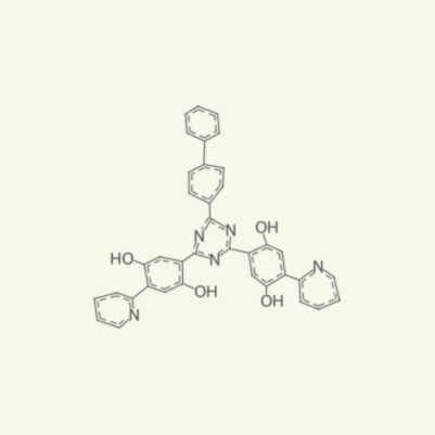 Oc1cc(-c2nc(-c3ccc(-c4ccccc4)cc3)nc(-c3cc(O)c(-c4ccccn4)cc3O)n2)c(O)cc1-c1ccccn1